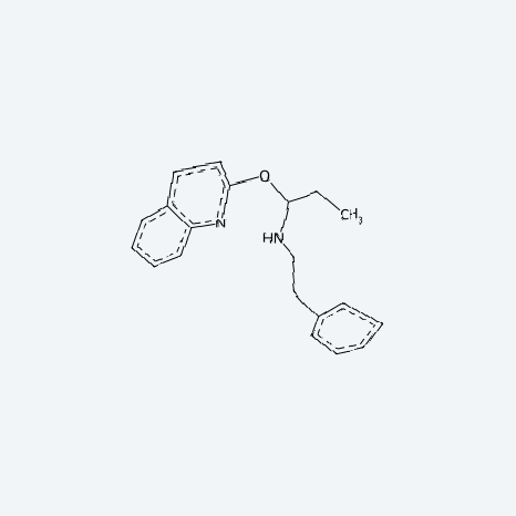 CCC(NCCc1ccccc1)Oc1ccc2ccccc2n1